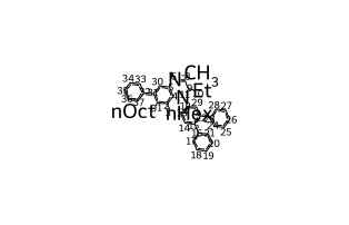 CCCCCCCCc1c(CCCCCC)cc(N=C(C)C(CC)=Nc2ccc(-c3ccccc3)c(-c3ccccc3)c2)cc1-c1ccccc1